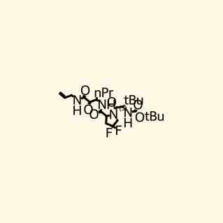 C=CCNC(=O)C(=O)C(CCC)NC(=O)C1CC(F)(F)CN1C(=O)[C@@H](NC(=O)OC(C)(C)C)C(C)(C)C